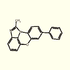 Cc1nc2cccc3c2n1-c1ccc(-c2ccccc2)cc1O3